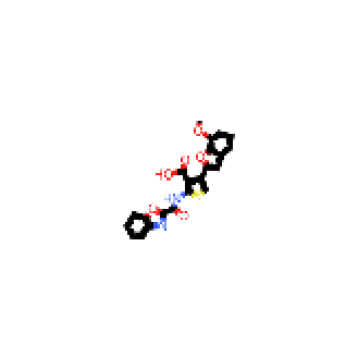 COc1cccc2cc(-c3csc(NC(=O)c4nc5ccccc5o4)c3C(=O)O)oc12